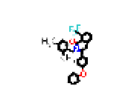 Cc1ccc(Cn2c(-c3ccc(Oc4ccccc4)cc3)cc3cccc(C(F)(F)F)c3c2=O)c(C)c1